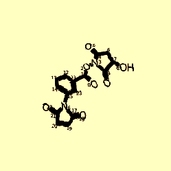 O=C(ON1C(=O)CC(O)C1=O)c1cccc(N2C(=O)C=CC2=O)c1